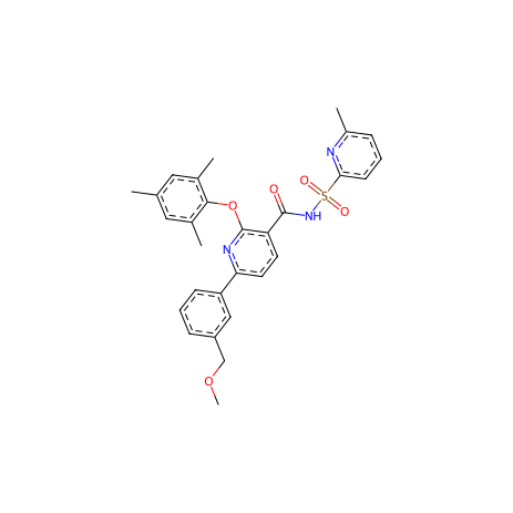 COCc1cccc(-c2ccc(C(=O)NS(=O)(=O)c3cccc(C)n3)c(Oc3c(C)cc(C)cc3C)n2)c1